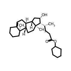 C[C@H](CCC(=O)OC1CCCCC1)[C@H]1[C@@H](O)C[C@H]2[C@@H]3CC=C4CCCC[C@]4(C)[C@H]3CC[C@]12C